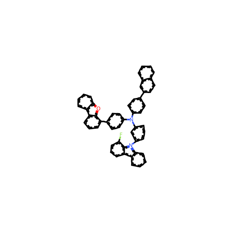 Fc1cccc2c3ccccc3n(-c3cccc(N(c4ccc(-c5ccc6ccccc6c5)cc4)c4ccc(-c5cccc6c5oc5ccccc56)cc4)c3)c12